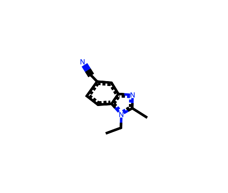 CCn1c(C)nc2cc(C#N)ccc21